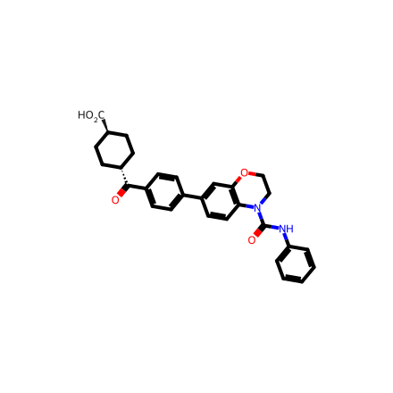 O=C(Nc1ccccc1)N1CCOc2cc(-c3ccc(C(=O)[C@H]4CC[C@H](C(=O)O)CC4)cc3)ccc21